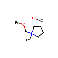 CC(C)OC[N+]1(C(C)C)CCCC1.O=N[O-]